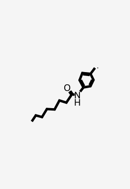 [CH2]c1ccc(NC(=O)CCCCCCC)cc1